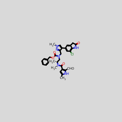 Cc1cc(C(=O)N(C)[C@H](C)CN(Cc2nn(C)cc2-c2cc(Cl)c3c(c2)CC(=O)N3)C(=O)OCc2ccccc2)c(C=O)[nH]1